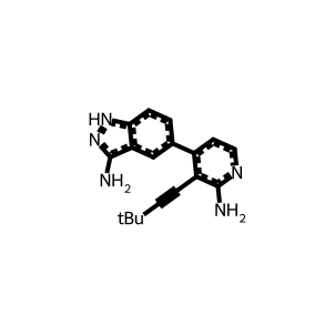 CC(C)(C)C#Cc1c(-c2ccc3[nH]nc(N)c3c2)ccnc1N